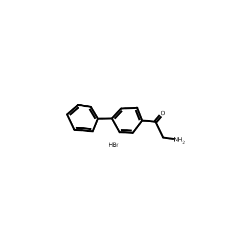 Br.NCC(=O)c1ccc(-c2ccccc2)cc1